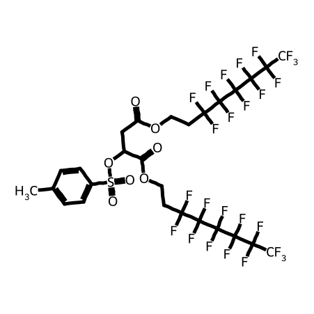 Cc1ccc(S(=O)(=O)OC(CC(=O)OCCC(F)(F)C(F)(F)C(F)(F)C(F)(F)C(F)(F)C(F)(F)F)C(=O)OCCC(F)(F)C(F)(F)C(F)(F)C(F)(F)C(F)(F)C(F)(F)F)cc1